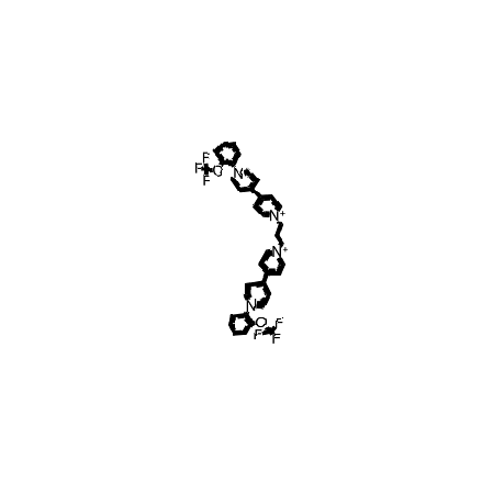 FC(F)(F)Oc1ccccc1-[n+]1ccc(-c2cc[n+](CCC[n+]3ccc(-c4cc[n+](-c5ccccc5OC(F)(F)F)cc4)cc3)cc2)cc1